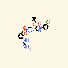 CC1(COc2c(N3CCN(S(=O)(=O)Cc4cccc(NCCN)c4)CC3)cnn(-c3cccc(Cl)c3)c2=O)CC1